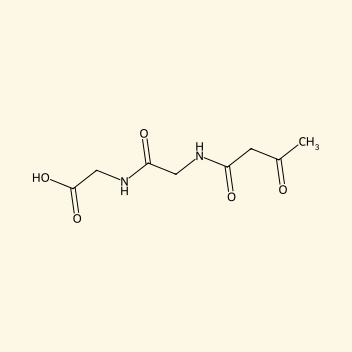 CC(=O)CC(=O)NCC(=O)NCC(=O)O